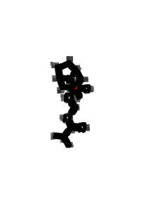 CC(C)C(=O)OCOC(=O)N1C2CCC1CN(C)C2